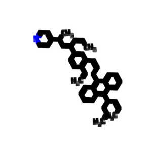 C=CCC(/C=C\C)c1c2ccccc2c(C/C=C\c2cc(C(/C=C\C)=C/C(C)c3ccncc3)ccc2C=C)c2ccccc12